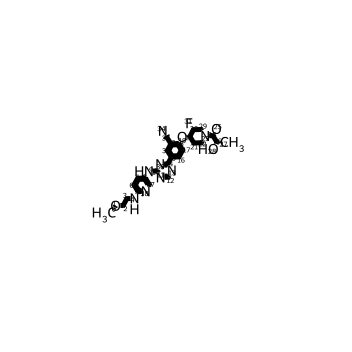 COCCNc1ccc(Nc2ncnc(-c3ccc(O[C@H]4CCN(C(=O)[C@H](C)O)C[C@@H]4F)c(C#N)c3)n2)cn1